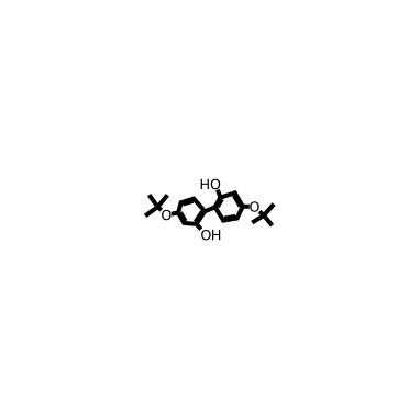 CC(C)(C)Oc1ccc(-c2ccc(OC(C)(C)C)cc2O)c(O)c1